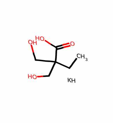 CCC(CO)(CO)C(=O)O.[KH]